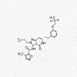 Cc1cnoc1C(=O)NC1C2C(=O)N[C@@H](CCc3cccc(OCC(C)(F)F)c3)CC2=NN1CCC1CC1